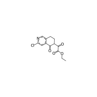 CCOC(=O)C(=O)C1CCc2cnc(Cl)cc2C1=O